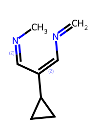 C=N/C=C(\C=N/C)C1CC1